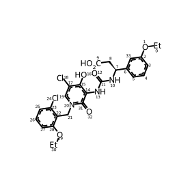 CCOc1cccc([C@H](CC(=O)O)NC(=O)Nc2c(O)c(Cl)cn(Cc3c(Cl)cccc3OCC)c2=O)c1